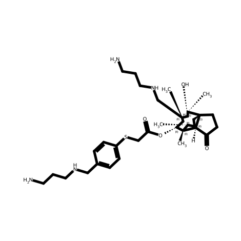 C[C@@H]1CC[C@@]23CCC(=O)[C@H]2[C@]1(C)[C@H](OC(=O)CSc1ccc(CNCCCN)cc1)C[C@](C)(CNCCCN)[C@@H](O)[C@@H]3C